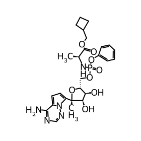 C[C@H](NP(=O)(OC[C@H]1O[C@@](C)(c2ccc3c(N)ncnn23)[C@H](O)[C@@H]1O)Oc1ccccc1)C(=O)OCC1CCC1